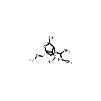 B[C@@H]1O[C@]2(COC)CN(C(N)NC)C1C2OC